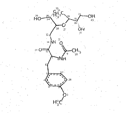 COc1ccc(CC(NC(C)=O)C(=O)NCC(OC(C)[C@@H](O)CO)[C@@H](C)O)cc1